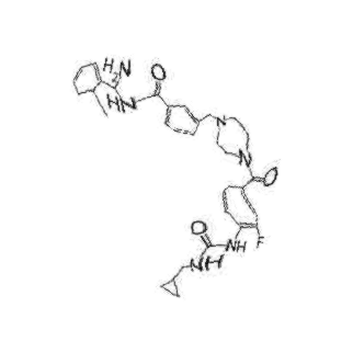 CC1CC=CC=C1C(N)NC(=O)c1cccc(CN2CCN(C(=O)c3ccc(NC(=O)NCC4CC4)c(F)c3)CC2)c1